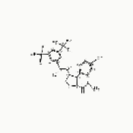 CCN[C@@H]1CC[C@H](O[C@H](C)c2cc(C(F)(F)F)cc(C(F)(F)F)c2)[C@H]1c1ccc(F)cc1